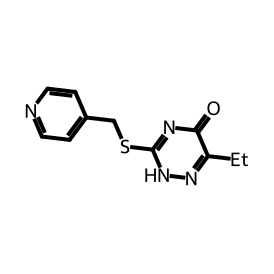 CCc1n[nH]c(SCc2ccncc2)nc1=O